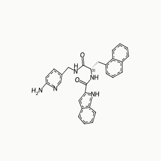 Nc1ccc(CNC(=O)[C@H](Cc2cccc3ccccc23)NC(=O)c2cc3ccccc3[nH]2)cn1